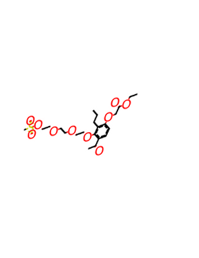 CCCc1c(OCC(=O)OCC)ccc(C(C)=O)c1OCCOCCOCCOS(C)(=O)=O